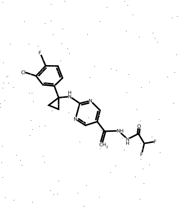 C=C(NNC(=O)C(F)F)c1cnc(NC2(c3ccc(F)c(Cl)c3)CC2)nc1